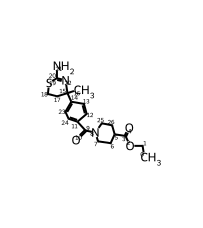 CCOC(=O)C1CCN(C(=O)c2ccc(C3(C)CCSC(N)=N3)cc2)CC1